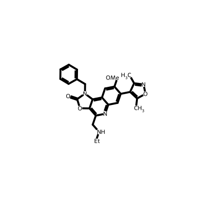 CCNCc1nc2cc(-c3c(C)noc3C)c(OC)cc2c2c1oc(=O)n2Cc1ccccc1